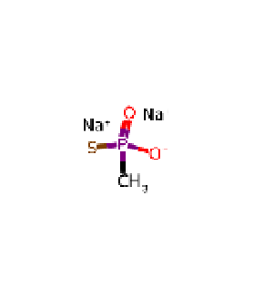 CP(=O)([O-])[S-].[Na+].[Na+]